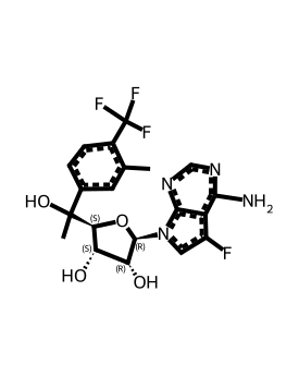 Cc1cc(C(C)(O)[C@H]2O[C@@H](n3cc(F)c4c(N)ncnc43)[C@H](O)[C@@H]2O)ccc1C(F)(F)F